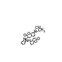 CCN(CC)c1ccc2cc(-c3nc4ccccc4[nH]3)c(=O)oc2c1.O=c1ccc2ccccc2o1